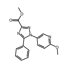 COC(=O)c1nc(-c2ccccc2)n(-c2ccc(OC)nc2)n1